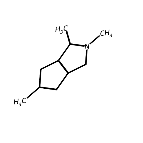 CC1CC2CN(C)C(C)C2C1